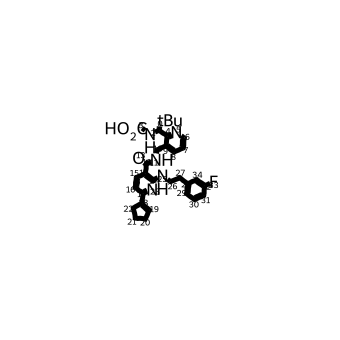 CC(C)(C)C(NC(=O)O)c1ncccc1CNC(=O)c1ccc(C2=CCCC2)nc1NCCc1cccc(F)c1